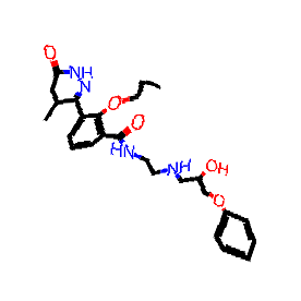 CCCOc1c(C(=O)NCCNCC(O)COc2ccccc2)cccc1C1=NNC(=O)CC1C